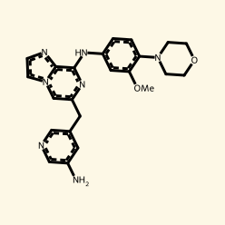 COc1cc(Nc2nc(Cc3cncc(N)c3)cn3ccnc23)ccc1N1CCOCC1